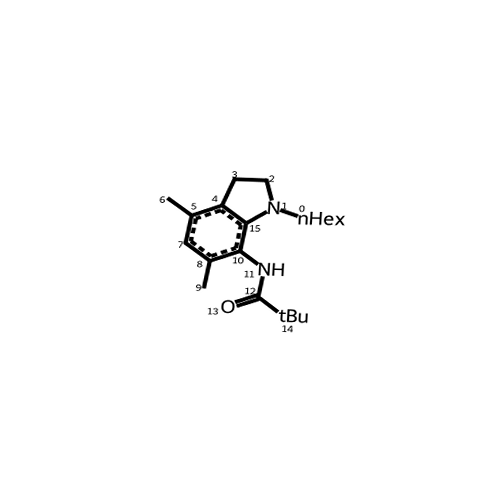 CCCCCCN1CCc2c(C)cc(C)c(NC(=O)C(C)(C)C)c21